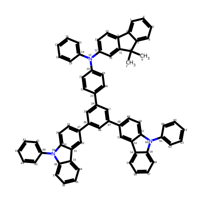 CC1(C)c2ccccc2-c2ccc(N(c3ccccc3)c3ccc(-c4cc(-c5ccc6c(c5)c5ccccc5n6-c5ccccc5)cc(-c5ccc6c(c5)c5ccccc5n6-c5ccccc5)c4)cc3)cc21